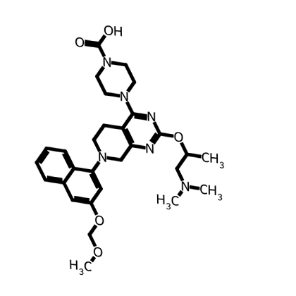 COCOc1cc(N2CCc3c(nc(OC(C)CN(C)C)nc3N3CCN(C(=O)O)CC3)C2)c2ccccc2c1